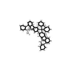 Cc1ccccc1-c1cccc2c1[nH]c1cc3c(cc12)C1(c2ccccc2-c2ccccc21)c1cc2c4cccc5c4n(c2cc1-3)Cc1ccccc1-5